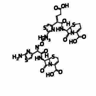 CO/N=C(\C(=O)N[C@@H]1C(=O)N2C(C(=O)O)=CCS[C@H]12)c1csc(N)n1.Nc1nc(/C(=C/CC(=O)O)C(=O)N[C@@H]2C(=O)N3C(C(=O)O)=CCS[C@H]23)cs1